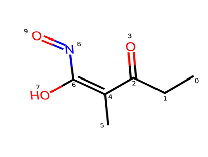 CCC(=O)/C(C)=C(/O)N=O